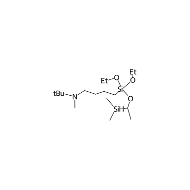 CCO[Si](CCCCN(C)C(C)(C)C)(OCC)OC(C)[SiH](C)C